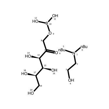 CCCCN(CCO)CCCC.O=C(COB(O)O)[C@H](O)[C@@H](O)[C@H](O)CO